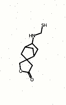 O=C1CC2(CO1)CC1CC2CC1NCS